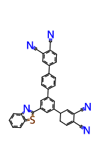 N#CC1=CCC(c2cc(-c3ccc(-c4ccc(C#N)c(C#N)c4)cc3)cc(-c3nc4ccccc4s3)c2)C=C1C#N